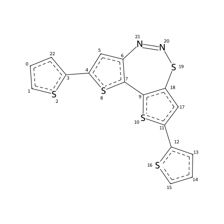 c1csc(-c2cc3c(s2)-c2sc(-c4cccs4)cc2SN=N3)c1